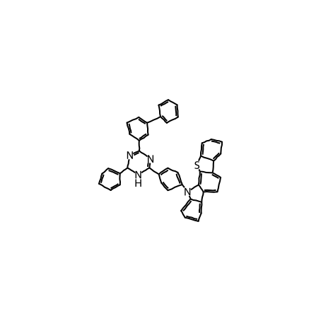 c1ccc(-c2cccc(C3=NC(c4ccccc4)NC(c4ccc(-n5c6ccccc6c6ccc7c8ccccc8sc7c65)cc4)=N3)c2)cc1